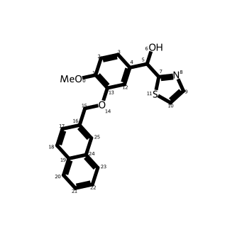 COc1ccc(C(O)c2nccs2)cc1OCc1ccc2ccccc2c1